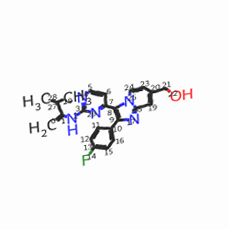 C=C(Nc1nccc(-c2c(-c3ccc(F)cc3)nc3cc(CO)ccn23)n1)C(C)C